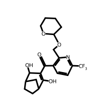 O=C(C1=C(O)C2CCC(C2)C1O)c1ccc(C(F)(F)F)nc1COC1CCCCO1